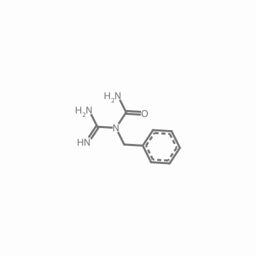 N=C(N)N(Cc1ccccc1)C(N)=O